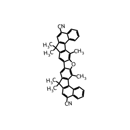 Cc1c2c(cc3c1oc1c(C)c4c(cc13)C(C)(C)c1cc(C#N)c3ccccc3c1-4)C(C)(C)c1cc(C#N)c3ccccc3c1-2